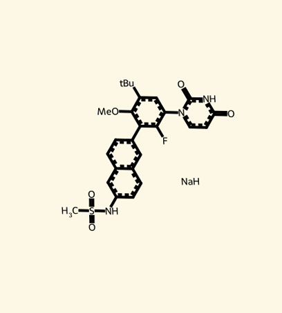 COc1c(C(C)(C)C)cc(-n2ccc(=O)[nH]c2=O)c(F)c1-c1ccc2cc(NS(C)(=O)=O)ccc2c1.[NaH]